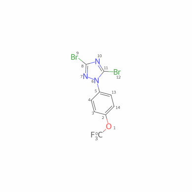 FC(F)(F)Oc1ccc(-n2nc(Br)nc2Br)cc1